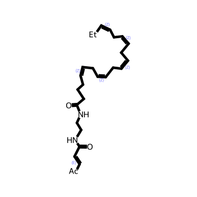 CC/C=C\C/C=C\C/C=C\C/C=C\C/C=C\CCCC(=O)NCCNC(=O)/C=C/C(C)=O